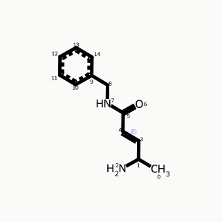 CC(N)/C=C/C(=O)NCc1ccccc1